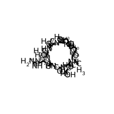 CC(C)C[C@@H]1NC(=O)[C@H](CC(=O)O)NC(=O)CNC(=O)[C@H](CCCNC(=N)N)NC(=O)[C@H](C)NC(=O)[C@H](C)NC(=O)[C@@H]2CCCN2C(=O)[C@H]2CCCN2C1=O